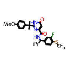 COc1ccc(C(C)(C)c2nc(C(=O)NC(c3ccc(SC(F)(F)F)c(F)c3)C(C)C)cc(=O)[nH]2)cc1